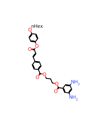 CCCCCCOc1ccc(OC(=O)C=Cc2ccc(C(=O)OCCCOC(=O)c3cc(N)cc(N)c3)cc2)cc1